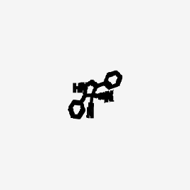 N#CC1(C#N)C(c2ccccc2)CNC1c1ccccc1